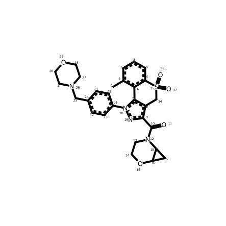 Cc1cccc2c1-c1c(c(C(=O)N3CCOC4CC43)nn1-c1ccc(CN3CCOCC3)cc1)CS2(=O)=O